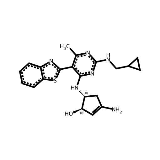 Cc1nc(NCC2CC2)nc(N[C@@H]2CC(N)=C[C@H]2O)c1-c1nc2ccccc2s1